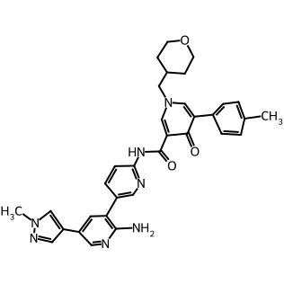 Cc1ccc(-c2cn(CC3CCOCC3)cc(C(=O)Nc3ccc(-c4cc(-c5cnn(C)c5)cnc4N)cn3)c2=O)cc1